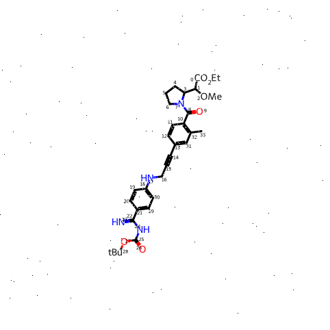 CCOC(=O)C(OC)C1CCCN1C(=O)c1ccc(C#CCNc2ccc(C(=N)NC(=O)OC(C)(C)C)cc2)cc1C